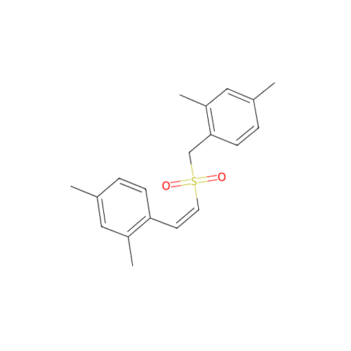 Cc1ccc(/C=C\S(=O)(=O)Cc2ccc(C)cc2C)c(C)c1